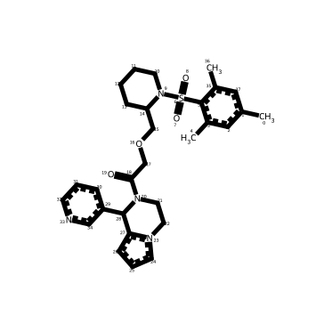 Cc1cc(C)c(S(=O)(=O)N2CCCCC2COCC(=O)N2CCn3cccc3C2c2cccnc2)c(C)c1